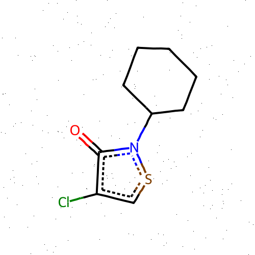 O=c1c(Cl)csn1C1CCCCC1